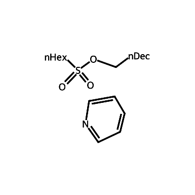 CCCCCCCCCCCOS(=O)(=O)CCCCCC.c1ccncc1